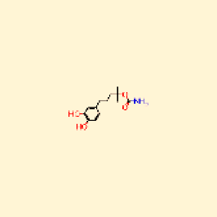 CC(C)(CCCc1ccc(O)c(O)c1)OC(N)=O